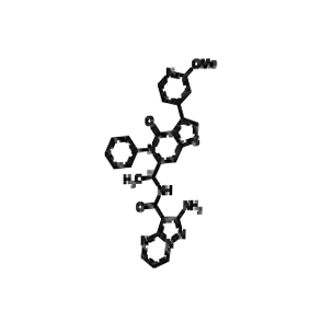 COc1cc(-c2csc3cc([C@H](C)NC(=O)c4c(N)nn5cccnc45)n(-c4ccccc4)c(=O)c23)ccn1